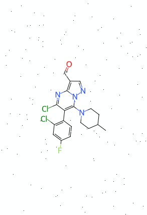 CC1CCN(c2c(-c3ccc(F)cc3Cl)c(Cl)nc3c(C=O)cnn23)CC1